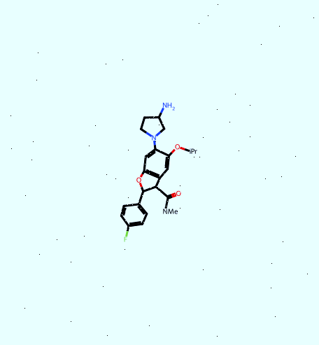 CNC(=O)C1c2cc(OC(C)C)c(N3CCC(N)C3)cc2OC1c1ccc(F)cc1